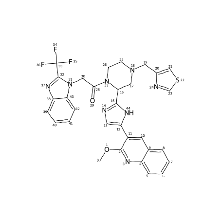 COc1nc2ccccc2cc1-c1cnc(C2CN(Cc3cscn3)CCN2C(=O)Cn2c(C(F)(F)F)nc3ccccc32)[nH]1